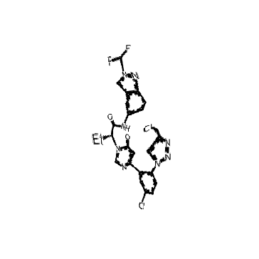 CC[C@@H](C(=O)Nc1ccc2nn(C(F)F)cc2c1)n1cnc(-c2cc(Cl)ccc2-n2cc(Cl)nn2)cc1=O